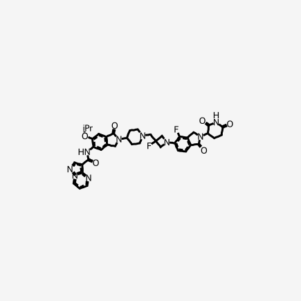 CC(C)Oc1cc2c(cc1NC(=O)c1cnn3cccnc13)CN(C1CCN(CC3(F)CN(c4ccc5c(c4F)CN(C4CCC(=O)NC4=O)C5=O)C3)CC1)C2=O